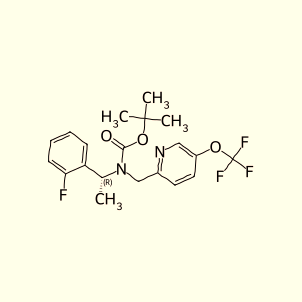 C[C@H](c1ccccc1F)N(Cc1ccc(OC(F)(F)F)cn1)C(=O)OC(C)(C)C